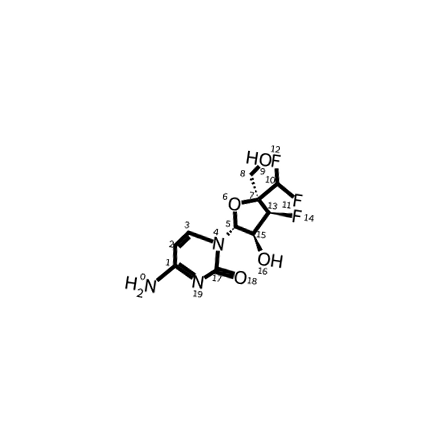 Nc1ccn([C@@H]2O[C@@](CO)(C(F)F)[C@@H](F)[C@H]2O)c(=O)n1